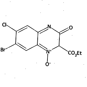 CCOC(=O)C1C(=O)N=c2cc(Cl)c(Br)cc2=[N+]1[O-]